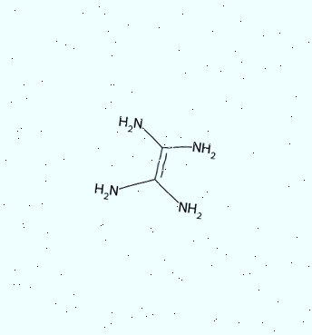 NC(N)=C(N)N